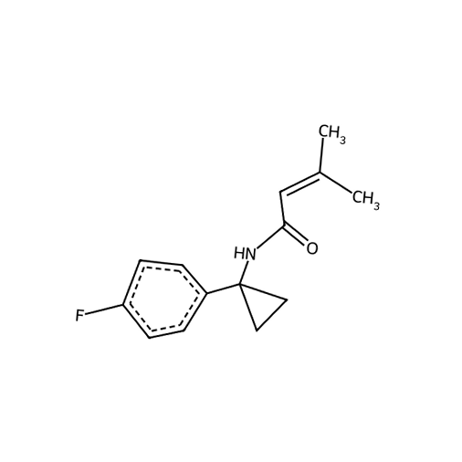 CC(C)=CC(=O)NC1(c2ccc(F)cc2)CC1